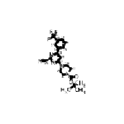 CC(C)(C)OC(=O)N1CCN(c2cc(-c3cccc(C(F)(F)F)c3)nc(C#N)n2)CC1